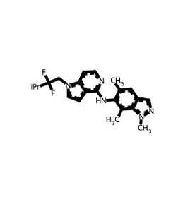 Cc1cc2cnn(C)c2c(C)c1Nc1nccc2c1ccn2CC(F)(F)C(C)C